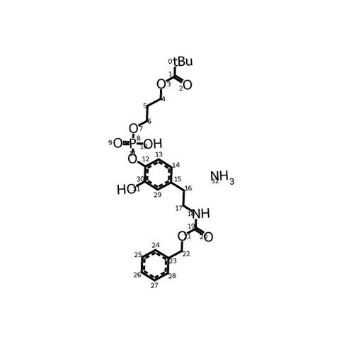 CC(C)(C)C(=O)OCCCOP(=O)(O)Oc1ccc(CCNC(=O)OCc2ccccc2)cc1O.N